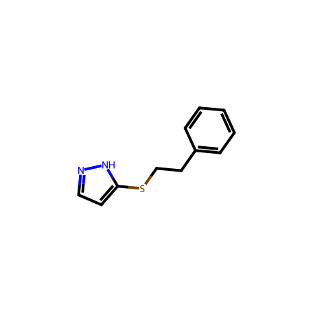 c1ccc(CCSc2ccn[nH]2)cc1